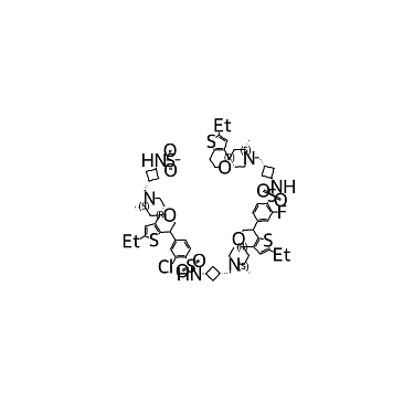 CCc1cc2c(s1)CCO[C@@]21CCN(C[C@H]2C[C@@H](NS(=O)(=O)c3ccc(C4CO[C@@]5(CCN(C[C@H]6C[C@@H](NS(=O)(=O)c7ccc(C8CO[C@@]9(CCN(C[C@H]%10C[C@@H](NS(C)(=O)=O)C%10)[C@@H](C)C9)c9cc(CC)sc98)cc7Cl)C6)[C@@H](C)C5)c5cc(CC)sc54)cc3F)C2)[C@@H](C)C1